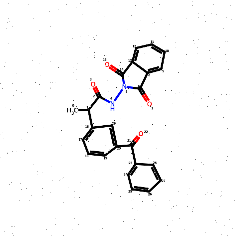 CC(C(=O)NN1C(=O)c2ccccc2C1=O)c1cccc(C(=O)c2ccccc2)c1